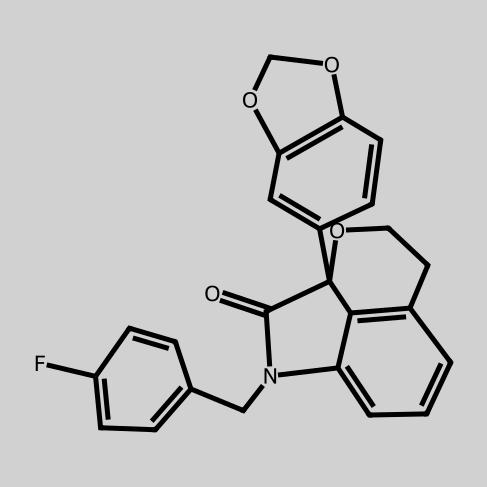 O=C1N(Cc2ccc(F)cc2)c2cccc3c2C1(c1ccc2c(c1)OCO2)OCC3